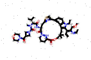 C=C/C(=C(\N=C/C)[C@H](C)OC)c1c2c3cc(ccc3n1CC)-c1csc(n1)C[C@H](NC(=O)[C@H](C(C)C)N(C)C(=O)N1CC(C(=O)N3CCOCC3)C1)C(=O)N1CCC[C@@](O)(N1)C(=O)OCC(C)(C)C2